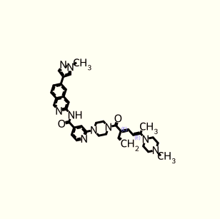 C=C/C(=C\C=C(/C)N1CCN(C)CC1)C(=O)N1CCN(c2cc(C(=O)Nc3cc4cc(-c5cnn(C)c5)ccc4cn3)ccn2)CC1